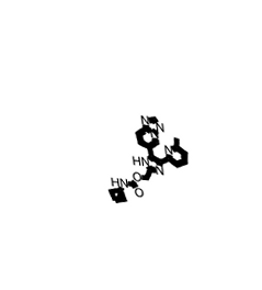 Cc1cccc(-c2nc(COC(=O)NC34CC(C3)C4)[nH]c2-c2ccc3ncnn3c2)n1